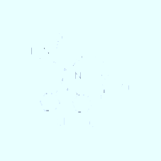 CC(C)(C)S(=O)(=O)CC(C1CC1)N1C(=O)[C@@](C)(CC(N)=O)C[C@H](c2cccc(Cl)c2)[C@@H]1c1ccc(Cl)cc1